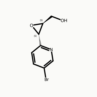 OC[C@@H]1O[C@H]1c1ccc(Br)cn1